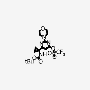 CC(C)(C)OC(=O)NC1(c2cc(OS(=O)(=O)C(F)(F)F)nc(N3CCOCC3)n2)CC1